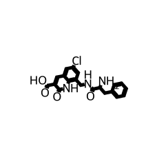 NC(Cc1ccccc1)C(=O)NCc1cc(Cl)cc2cc(C(=O)O)c(=O)[nH]c12